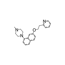 CN1CCN(c2cccc3ccc(OCCc4ccccn4)cc23)CC1